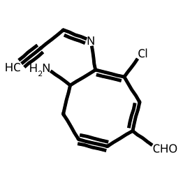 C#C\C=N/C1=C(Cl)/C=C(/C=O)C#CCC1N